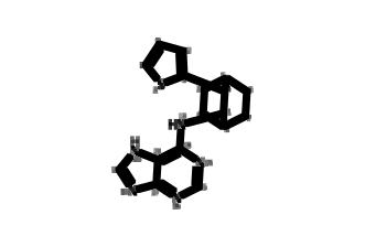 c1csc(C2C3CCC(CC3)C2Nc2ncnc3nc[nH]c23)c1